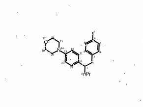 CCCC(Cc1ccc(C)cc1)c1ccc(N2CCOCC2)cc1